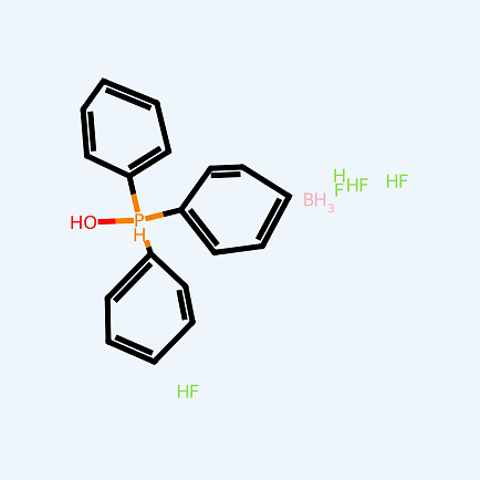 B.F.F.F.F.O[PH](c1ccccc1)(c1ccccc1)c1ccccc1